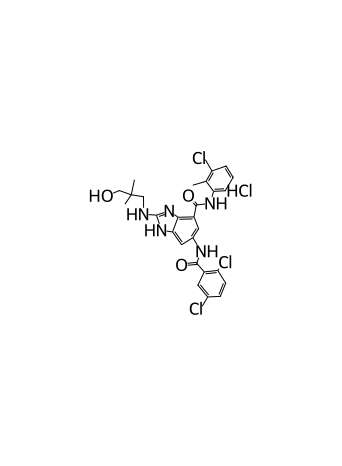 Cc1c(Cl)cccc1NC(=O)c1cc(NC(=O)c2cc(Cl)ccc2Cl)cc2[nH]c(NCC(C)(C)CO)nc12.Cl